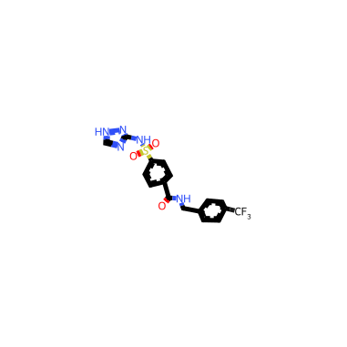 O=C(NCc1ccc(C(F)(F)F)cc1)c1ccc(S(=O)(=O)Nc2nc[nH]n2)cc1